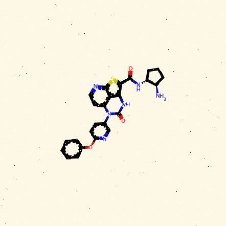 N[C@@H]1CCC[C@H]1NC(=O)c1sc2nccc3c2c1NC(=O)N3c1ccc(Oc2ccccc2)nc1